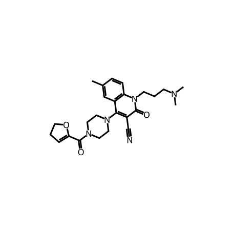 Cc1ccc2c(c1)c(N1CCN(C(=O)C3=CCCO3)CC1)c(C#N)c(=O)n2CCCN(C)C